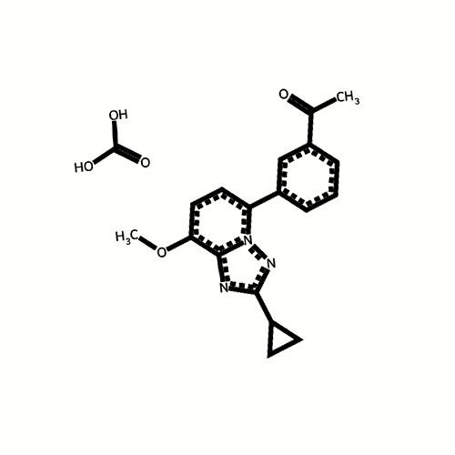 COc1ccc(-c2cccc(C(C)=O)c2)n2nc(C3CC3)nc12.O=C(O)O